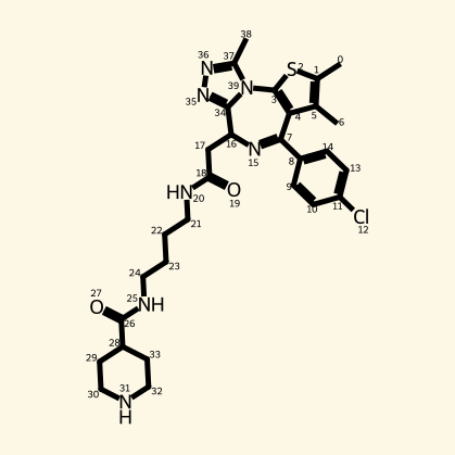 Cc1sc2c(c1C)C(c1ccc(Cl)cc1)=NC(CC(=O)NCCCCNC(=O)C1CCNCC1)c1nnc(C)n1-2